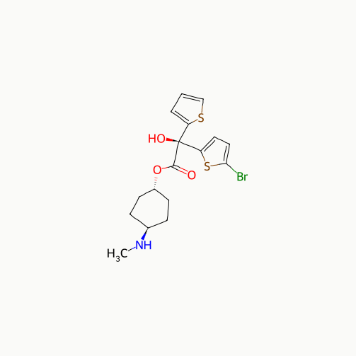 CN[C@H]1CC[C@H](OC(=O)[C@](O)(c2cccs2)c2ccc(Br)s2)CC1